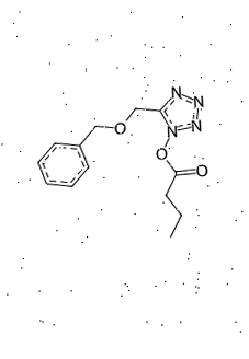 CCCC(=O)On1nnnc1COCc1ccccc1